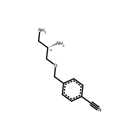 N#Cc1ccc(COC[C@@H](N)CN)cc1